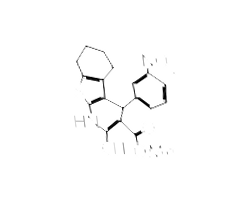 COC(=O)C1=C(C)Nc2sc3c(c2C1c1cccc([N+](=O)[O-])c1)CCCC3